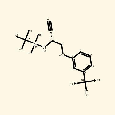 C#C[C@H](COc1cccc(C(F)(F)F)c1)O[Si](C)(C)C(C)(C)C